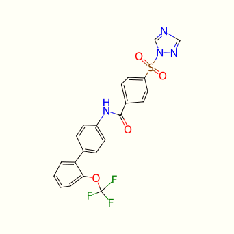 O=C(Nc1ccc(-c2ccccc2OC(F)(F)F)cc1)c1ccc(S(=O)(=O)n2cncn2)cc1